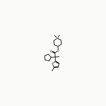 Cc1ccc(C(C)(C(=O)OC2CC[N+](C)(C)CC2)C2CCCC2)s1